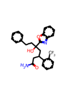 NC(=O)CC(CC(O)(CCc1ccccc1)c1nc2ccccc2o1)c1ccccc1C(F)(F)F